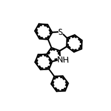 c1ccc(-c2cccc3c4c([nH]c23)-c2ccccc2Sc2ccccc2-4)cc1